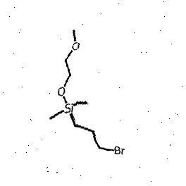 COCCO[Si](C)(C)CCCBr